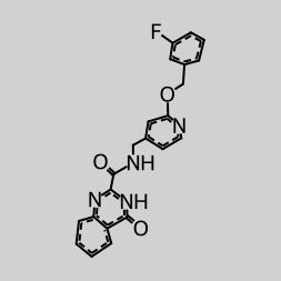 O=C(NCc1ccnc(OCc2cccc(F)c2)c1)c1nc2ccccc2c(=O)[nH]1